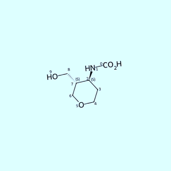 O=C(O)N[C@H]1CCOC[C@@H]1CO